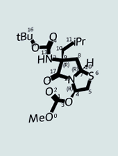 COC(=O)O[C@@H]1CS[C@@H]2C[C@@](CC(C)C)(NC(=O)OC(C)(C)C)C(=O)N12